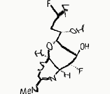 CNC1=N[C@@H]2[C@@H](F)[C@H](O)[C@@H]([C@@H](O)CC(F)F)O[C@@H]2S1